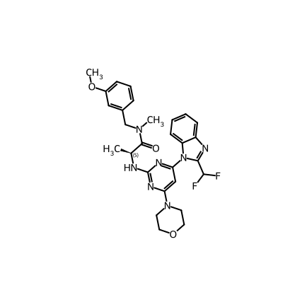 COc1cccc(CN(C)C(=O)[C@H](C)Nc2nc(N3CCOCC3)cc(-n3c(C(F)F)nc4ccccc43)n2)c1